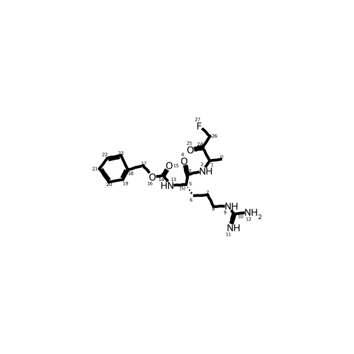 CC(NC(=O)[C@H](CCCNC(=N)N)NC(=O)OCc1ccccc1)C(=O)CF